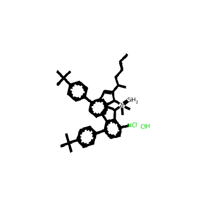 CCCCC(C)C1=Cc2c(-c3ccc(C(C)(C)C)cc3)cccc2[CH]1[Zr]([CH3])([CH3])(=[SiH2])[CH]1C(C)=Cc2c(-c3ccc(C(C)(C)C)cc3)ccc(C)c21.Cl.Cl